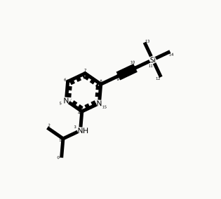 CC(C)Nc1nccc(C#C[Si](C)(C)C)n1